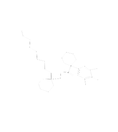 CCCCCCCCCC1(COC(=O)C2(c3cc(F)c(F)c(F)c3)CCCCC2)CCCCC1